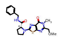 COCc1nc2sc(N3CCC[C@@H]3C(=O)NCc3ccccc3)nc2c(=O)n1C